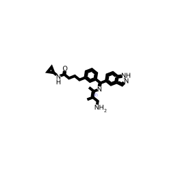 C/C(CN)=C(\C)N=C(c1cccc(CCCC(=O)NC2CC2)c1)c1ccc2[nH]ncc2c1